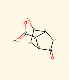 O=C1CC2C(O)CC1C2C(=O)O